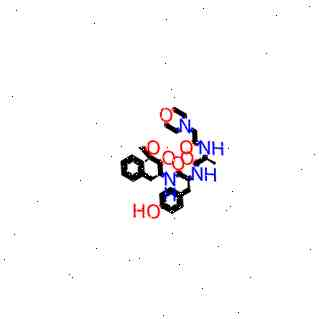 C[C@H](NC(=O)CN1CCOCC1)C(=O)N[C@@H](Cc1ccc(O)cc1)C(=O)N[C@@H](Cc1ccccc1)C(=O)[C@@]1(C)CO1